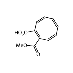 COC(=O)C1=C(C(=O)O)C=CC=CC=C1